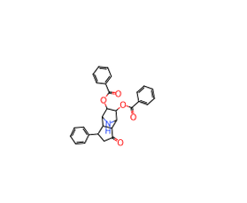 O=C(OC1C2NC(C1OC(=O)c1ccccc1)C1C(c3ccccc3)CC(=O)C21)c1ccccc1